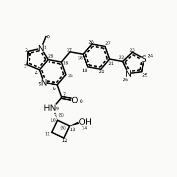 Cn1ccc2nc(C(=O)N[C@H]3CC[C@@H]3O)cc(Cc3ccc(-c4cscn4)cc3)c21